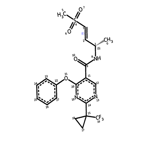 C[C@@H](/C=C/S(C)(=O)=O)NC(=O)c1cnc(C2(C(F)(F)F)CC2)nc1Oc1ccccc1